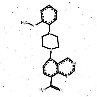 COc1ccccc1N1CCN(c2ccc(C(N)=O)c3ncncc23)CC1